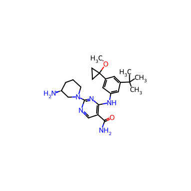 COC1(c2cc(Nc3nc(N4CCC[C@H](N)C4)ncc3C(N)=O)cc(C(C)(C)C)c2)CC1